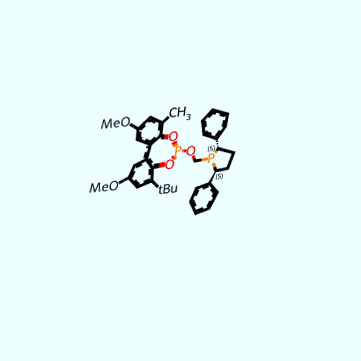 COc1cc(C)c2op(OCP3[C@H](c4ccccc4)CC[C@H]3c3ccccc3)oc3c(C(C)(C)C)cc(OC)cc3c2c1